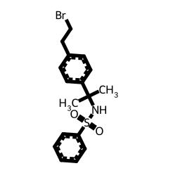 CC(C)(NS(=O)(=O)c1ccccc1)c1ccc(CCBr)cc1